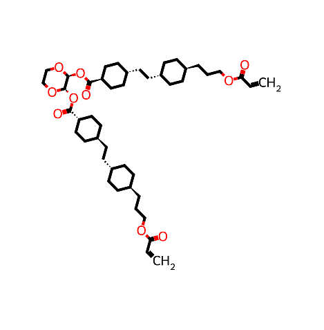 C=CC(=O)OCCC[C@H]1CC[C@H](CC[C@H]2CC[C@H](C(=O)O[C@@H]3OCCO[C@H]3OC(=O)[C@H]3CC[C@H](CC[C@H]4CC[C@H](CCCOC(=O)C=C)CC4)CC3)CC2)CC1